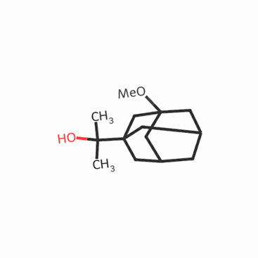 COC12CC3CC(C1)CC(C(C)(C)O)(C3)C2